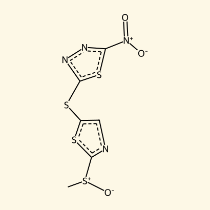 C[S+]([O-])c1ncc(Sc2nnc([N+](=O)[O-])s2)s1